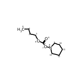 CCCCOC(=O)ON1CCCCC1